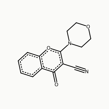 N#Cc1c(N2CCOCC2)oc2ccccc2c1=O